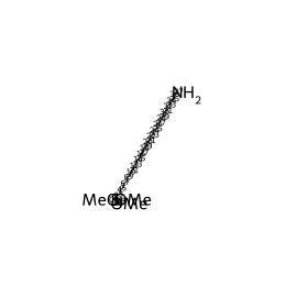 CO[Si](CCCCCCCCCCCCCCCCCCCCCCCCCCCCCCCCCCCN)(OC)OC